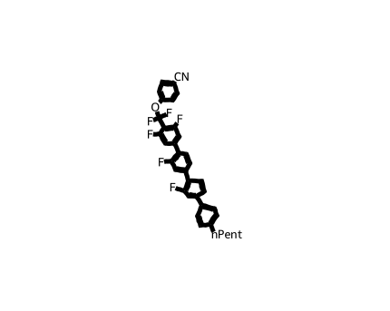 CCCCCc1ccc(-c2ccc(-c3ccc(-c4cc(F)c(C(F)(F)Oc5ccc(C#N)cc5)c(F)c4)c(F)c3)c(F)c2)cc1